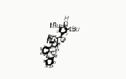 CC(C)(C)c1cc(C(=O)CN2C[C@H](COCc3ccccc3)[C@@H](c3ccccc3)/C2=N/Br)cc(C(C)(C)C)c1O